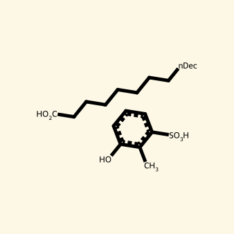 CCCCCCCCCCCCCCCCCC(=O)O.Cc1c(O)cccc1S(=O)(=O)O